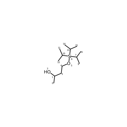 CC(O)CCO[Si](C(C)C)(C(C)C)C(C)C